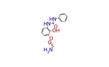 NSOOc1cccc(NC(=O)Nc2ccccc2)c1O